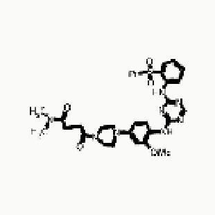 COc1cc(N2CCN(C(=O)CCC(=O)N(C)C)CC2)ccc1Nc1ncnc(Nc2ccccc2S(=O)(=O)C(C)C)n1